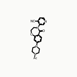 CC(=O)N1CCN(c2ccc3c(c2)OCCN(c2cnccc2C#N)C3=O)CC1